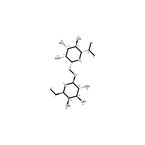 CC[C@H]1O[C@@H](OC[C@H]2O[C@@H](C(C)C)[C@H](O)[C@@H](O)[C@H]2O)[C@H](O)[C@@H](O)[C@H]1O